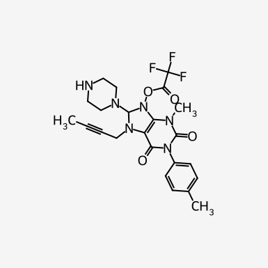 CC#CCN1c2c(n(C)c(=O)n(-c3ccc(C)cc3)c2=O)N(OC(=O)C(F)(F)F)C1N1CCNCC1